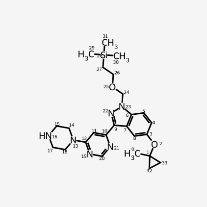 CC1(Oc2ccc3c(c2)c(-c2cc(N4CCNCC4)ncn2)nn3COCC[Si](C)(C)C)CC1